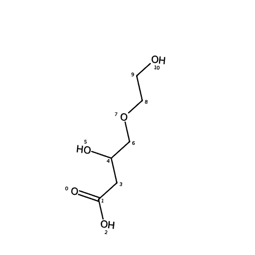 O=C(O)CC(O)COCCO